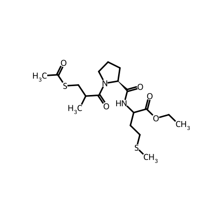 CCOC(=O)C(CCSC)NC(=O)[C@@H]1CCCN1C(=O)C(C)CSC(C)=O